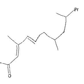 CC(C=CCC(C)CC(C)C(C)C)=CC(=O)Cl